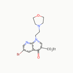 CCOC(=O)c1cn(CCN2CCOCC2)c2ncc(Br)cc2c1=O